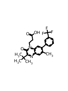 Cc1cc2nc(C(C)(C)C)c(=O)n(CCC(=O)O)c2cc1-c1cccc(C(F)(F)F)c1